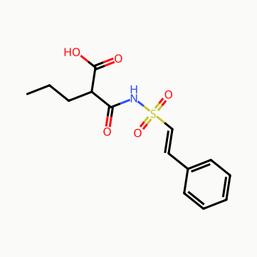 CCCC(C(=O)O)C(=O)NS(=O)(=O)/C=C/c1ccccc1